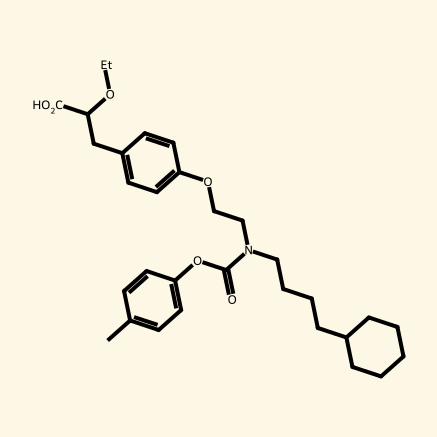 CCOC(Cc1ccc(OCCN(CCCCC2CCCCC2)C(=O)Oc2ccc(C)cc2)cc1)C(=O)O